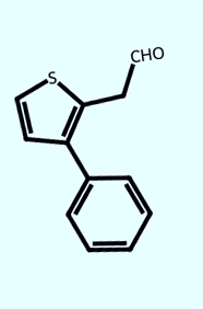 O=CCc1sccc1-c1ccccc1